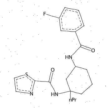 CCCC1(NC(=O)c2nccs2)CCCC(NC(=O)c2cccc(F)c2)C1